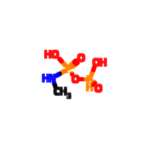 CNP(=O)(O)O[PH](=O)O